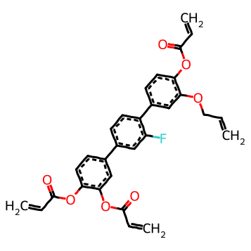 C=CCOc1cc(-c2ccc(-c3ccc(OC(=O)C=C)c(OC(=O)C=C)c3)cc2F)ccc1OC(=O)C=C